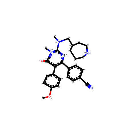 COc1ccc(-c2c(-c3ccc(C#N)cc3)nc(N(C)CC3CCCNCC3)n(C)c2=O)cc1